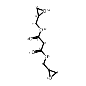 O=C(CC(=O)OCC1CO1)OCC1CO1